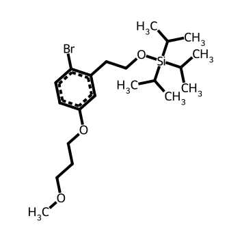 COCCCOc1ccc(Br)c(CCO[Si](C(C)C)(C(C)C)C(C)C)c1